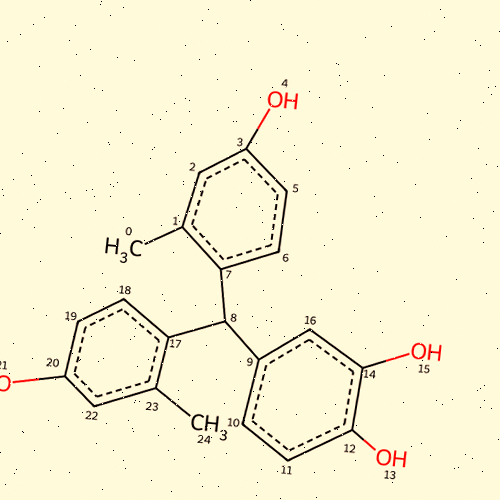 Cc1cc(O)ccc1C(c1ccc(O)c(O)c1)c1ccc(O)cc1C